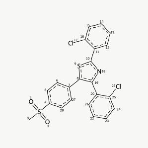 CS(=O)(=O)c1ccc(-c2sc(-c3ccccc3Cl)nc2-c2ccccc2Cl)cc1